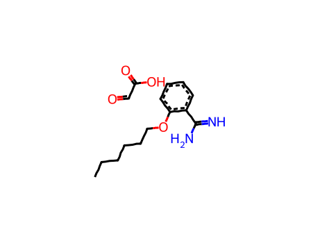 CCCCCCOc1ccccc1C(=N)N.O=CC(=O)O